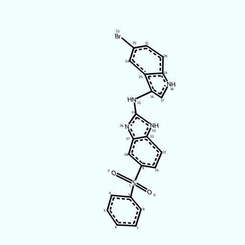 O=S(=O)(c1ccccc1)c1ccc2[nH]c(Nc3c[nH]c4ccc(Br)cc34)nc2c1